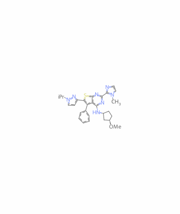 CO[C@@H]1CC[C@H](Nc2nc(-c3nccn3C)nc3sc(-c4ccn(C(C)C)n4)c(-c4ccccc4)c23)C1